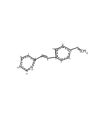 C=Cc1ccc(C=Cc2ccncn2)cc1